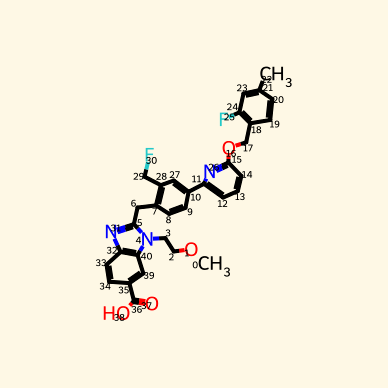 COCCn1c(Cc2ccc(-c3cccc(OCc4ccc(C)cc4F)n3)cc2CF)nc2ccc(C(=O)O)cc21